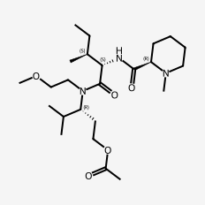 CC[C@H](C)[C@H](NC(=O)[C@H]1CCCCN1C)C(=O)N(CCOC)[C@H](CCOC(C)=O)C(C)C